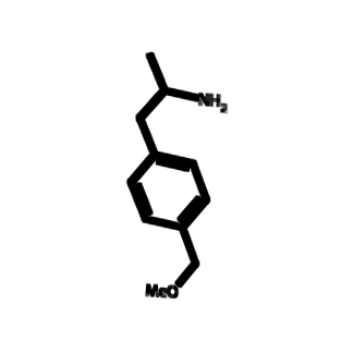 COCc1ccc(CC(C)N)cc1